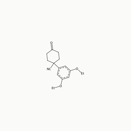 CCOc1cc(OCC)cc(C2(C#N)CCC(=O)CC2)c1